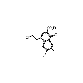 CCOC(=O)c1cn(CCCl)c2cc(Cl)c(F)cc2c1=O